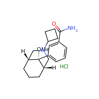 CO[C@@]1(c2cccc(C(N)=O)c2)[C@@H]2CCC[C@H]1CN(C1CCC1)C2.Cl